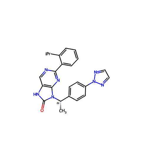 CC(C)c1ccccc1-c1ncc2[nH]c(=O)n([C@@H](C)c3ccc(-n4nccn4)cc3)c2n1